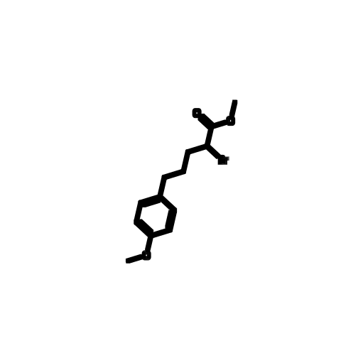 COC(=O)C(Br)CCCc1ccc(OC)cc1